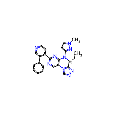 CC[C@@H]1c2nncn2-c2cnc(-c3ccncc3-c3ccccc3)nc2N1c1ccn(C)n1